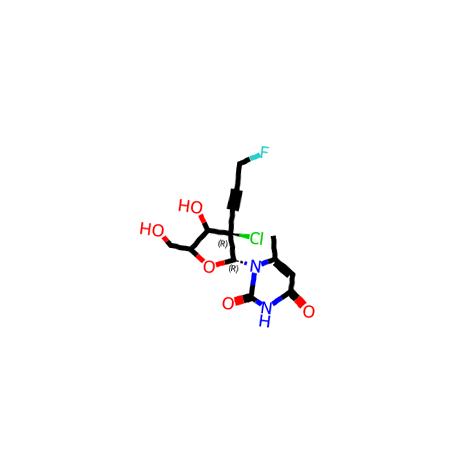 Cc1cc(=O)[nH]c(=O)n1[C@@H]1OC(CO)C(O)[C@]1(Cl)C#CCF